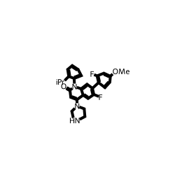 COc1ccc(-c2cc3c(cc2F)c(N2CCNCC2)cc(=O)n3-c2ccccc2C(C)C)c(F)c1